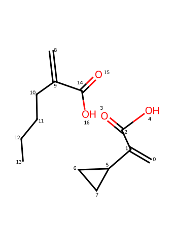 C=C(C(=O)O)C1CC1.C=C(CCCC)C(=O)O